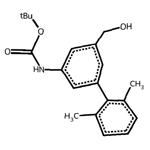 Cc1cccc(C)c1-c1cc(CO)cc(NC(=O)OC(C)(C)C)c1